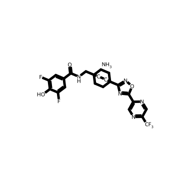 N.O=C(NCC12CCC(c3noc(-c4cnc(C(F)(F)F)cn4)n3)(CC1)CC2)c1cc(F)c(O)c(F)c1